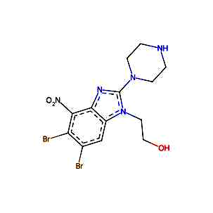 O=[N+]([O-])c1c(Br)c(Br)cc2c1nc(N1CCNCC1)n2CCO